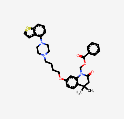 CC1(C)CC(=O)N(COC(=O)c2ccccc2)c2cc(OCCCCN3CCN(c4cccc5sccc45)CC3)ccc21